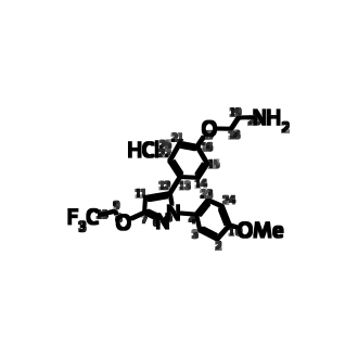 COc1ccc(-n2nc(OCC(F)(F)F)cc2-c2ccc(OCCN)cc2)cc1.Cl